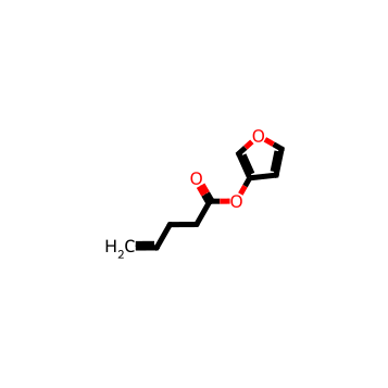 C=CCCC(=O)Oc1ccoc1